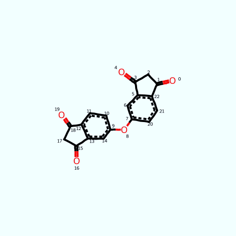 O=C1CC(=O)c2cc(Oc3ccc4c(c3)C(=O)CC4=O)ccc21